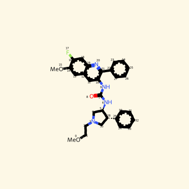 COCCN1C[C@@H](NC(=O)Nc2cc3cc(OC)c(F)cc3nc2-c2ccccc2)[C@H](c2ccccc2)C1